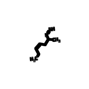 CC/C=C\CC(C)N=N